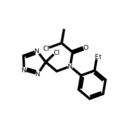 CCc1ccccc1N(CC1(Cl)N=CN=N1)C(=O)C(C)Cl